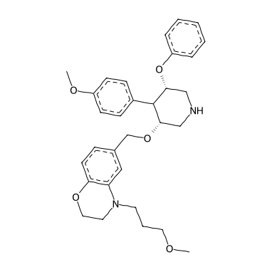 COCCCN1CCOc2ccc(CO[C@H]3CNC[C@@H](Oc4ccccc4)C3c3ccc(OC)cc3)cc21